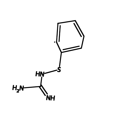 N=C(N)NSc1[c]cccc1